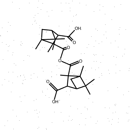 CC1(C)C2CC1(C)C(C)(C(=O)OC(=O)C1(C)C(C(=O)O)C3CC1(C)C3(C)C)C2C(=O)O